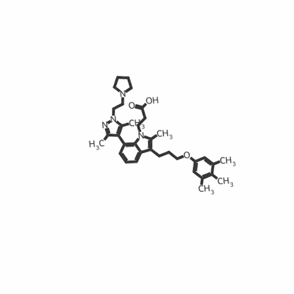 Cc1cc(OCCCc2c(C)n(CCC(=O)O)c3c(-c4c(C)nn(CCN5CCCC5)c4C)cccc23)cc(C)c1C